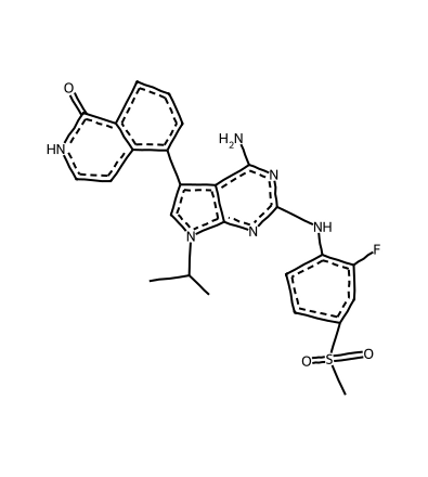 CC(C)n1cc(-c2cccc3c(=O)[nH]ccc23)c2c(N)nc(Nc3ccc(S(C)(=O)=O)cc3F)nc21